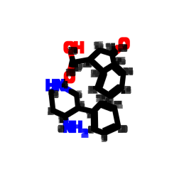 NC1CCNCC1c1ccccc1.O=C1CC(C(=O)O)c2ccccc21